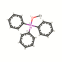 CCO[PH](c1ccccc1)(c1ccccc1)c1ccccc1